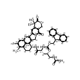 CC[C@@]1(O)C(=O)OCc2c1cc1n(c2=O)Cc2c-1nc1cc(F)c(C)c3c1c2[C@@H](NC(=O)[C@@H](CCCNC(N)=O)NC(=O)OCC1c2ccccc2-c2ccccc21)CC3